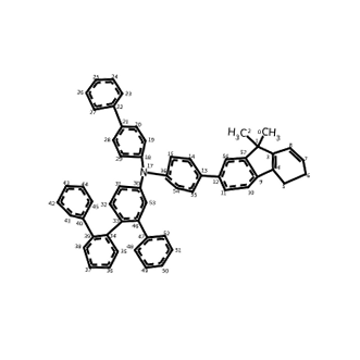 CC1(C)C2=C(CCC=C2)c2ccc(-c3ccc(N(c4ccc(-c5ccccc5)cc4)c4ccc(-c5ccccc5-c5ccccc5)c(-c5ccccc5)c4)cc3)cc21